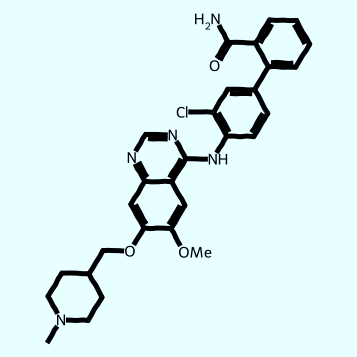 COc1cc2c(Nc3ccc(-c4ccccc4C(N)=O)cc3Cl)ncnc2cc1OCC1CCN(C)CC1